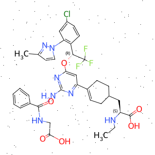 CCN[C@@H](CC1CC=C(c2cc(O[C@H](c3ccc(Cl)cc3-n3ccc(C)n3)C(F)(F)F)nc(N)n2)CC1)C(=O)O.O=C(O)CNC(=O)c1ccccc1